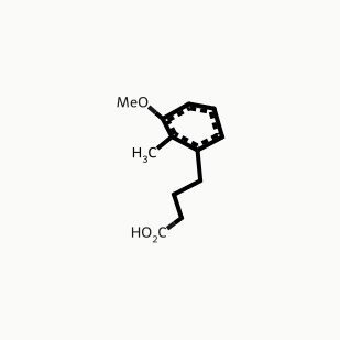 COc1cccc(CCCC(=O)O)c1C